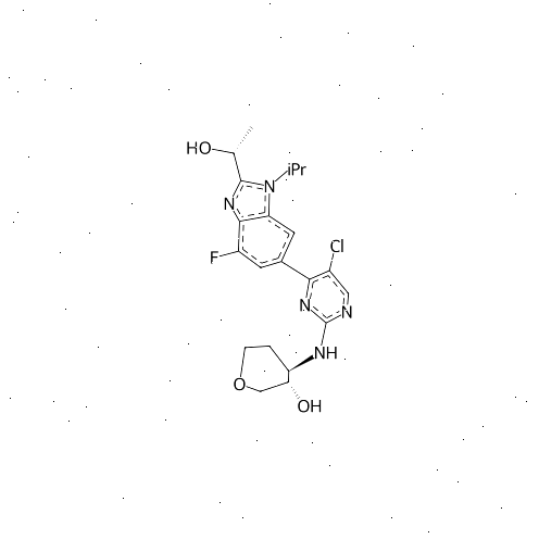 CC(C)n1c([C@@H](C)O)nc2c(F)cc(-c3nc(N[C@@H]4CCOC[C@H]4O)ncc3Cl)cc21